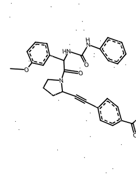 COc1cccc(C(NC(=O)Nc2ccccc2)C(=O)N2CCCC2C#Cc2ccc(C(=O)O)cc2)c1